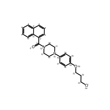 O=C(c1cccc2ccccc12)N1CCN(c2ccc(OCCCCl)cc2)CC1